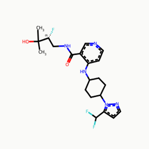 CC(C)(O)[C@H](F)CNC(=O)c1cnccc1NC1CCC(n2nccc2C(F)F)CC1